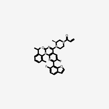 C=CC(=O)N1CCN(c2nc(=O)n(-c3c(C)cccc3C(C)C)c3nc(-c4c(F)ccc5ccoc45)c(F)cc23)[C@@H](C)C1